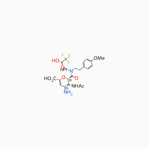 CCCN(CCc1ccc(OC)cc1)C(=O)[C@@H]1OC(C(=O)O)=C[C@H](N)[C@H]1NC(C)=O.O=C(O)C(F)(F)F